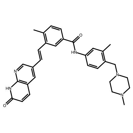 Cc1ccc(C(=O)Nc2ccc(CN3CCN(C)CC3)c(C)c2)cc1/C=C/c1cnc2[nH]c(=O)ccc2c1